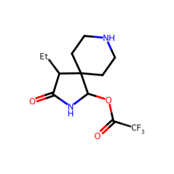 CCC1C(=O)NC(OC(=O)C(F)(F)F)C12CCNCC2